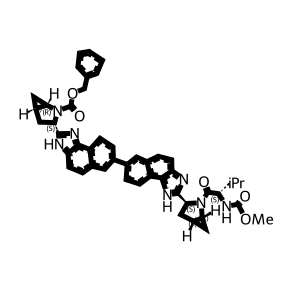 COC(=O)N[C@H](C(=O)N1[C@@H]2C[C@@H]2C[C@H]1c1nc2ccc3cc(-c4ccc5c(ccc6[nH]c([C@@H]7C[C@H]8C[C@H]8N7C(=O)OCc7ccccc7)nc65)c4)ccc3c2[nH]1)C(C)C